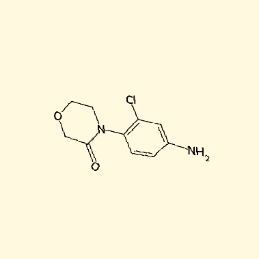 Nc1ccc(N2CCOCC2=O)c(Cl)c1